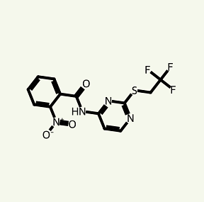 O=C(Nc1ccnc(SCC(F)(F)F)n1)c1ccccc1[N+](=O)[O-]